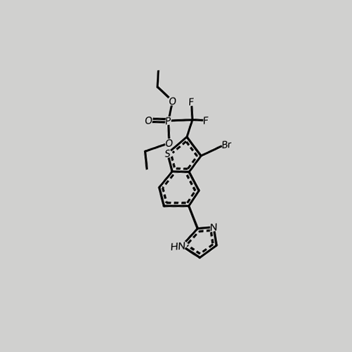 CCOP(=O)(OCC)C(F)(F)c1sc2ccc(-c3ncc[nH]3)cc2c1Br